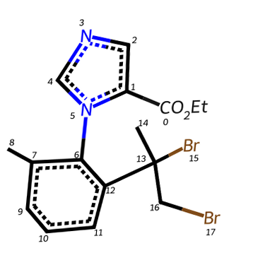 CCOC(=O)c1cncn1-c1c(C)cccc1C(C)(Br)CBr